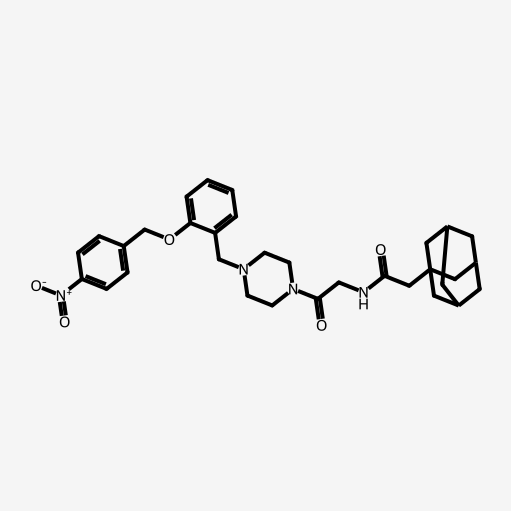 O=C(CC12CC3CC(CC(C3)C1)C2)NCC(=O)N1CCN(Cc2ccccc2OCc2ccc([N+](=O)[O-])cc2)CC1